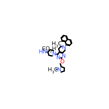 Cc1cccc2cccc(N3CCc4c(nc(OCC5CCCN5C)nc4N4CCC(NC(=O)O)CC4)C3)c12